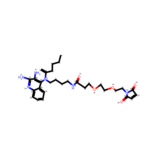 C=C(CCCC)N(CCCCNC(=O)CCOCCOCCN1C(=O)C=CC1=O)c1c(N)c(N)nc2ccccc12